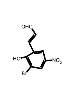 O=CC=Cc1cc([N+](=O)[O-])cc(Br)c1O